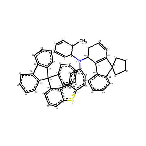 CC1C=CC=CC1N(c1ccc2sc3cccc(C4(c5ccccc5)c5ccccc5-c5ccccc54)c3c2c1)C1CC=CC2=C1c1ccccc1C21CCCC1